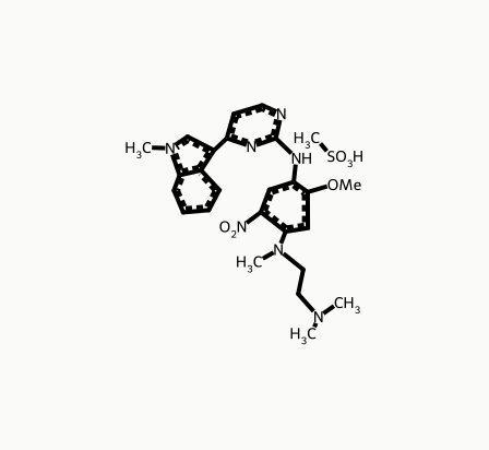 COc1cc(N(C)CCN(C)C)c([N+](=O)[O-])cc1Nc1nccc(-c2cn(C)c3ccccc23)n1.CS(=O)(=O)O